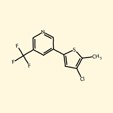 Cc1sc(-c2cncc(C(F)(F)F)c2)cc1Cl